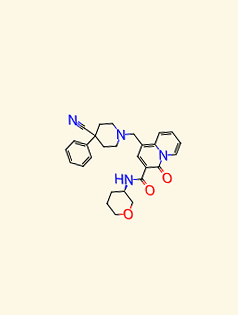 N#CC1(c2ccccc2)CCN(Cc2cc(C(=O)N[C@@H]3CCCOC3)c(=O)n3ccccc23)CC1